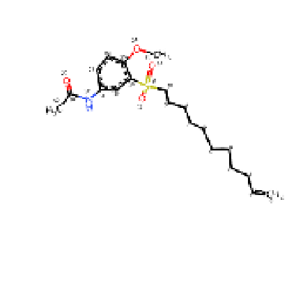 C=CCCCCCCCCCS(=O)(=O)c1cc(NC(C)=O)ccc1OC